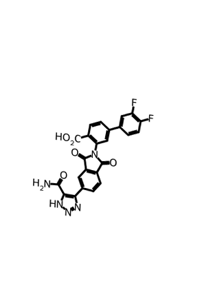 NC(=O)c1[nH]nnc1-c1ccc2c(c1)C(=O)N(c1cc(-c3ccc(F)c(F)c3)ccc1C(=O)O)C2=O